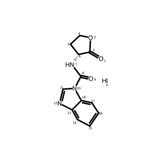 I.O=C1OCC[C@H]1NC(=O)n1cnc2ccccc21